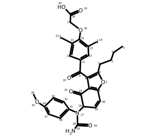 CCCCc1oc2c(c1C(=O)c1cc(I)c(OCC(=O)O)c(I)c1)C(=O)C(N(C(N)=O)c1ccc(OC)cc1)C=C2